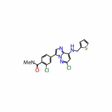 CNC(=O)c1ccc(-c2cnc3c(NCc4cccs4)cc(Cl)nn23)cc1Cl